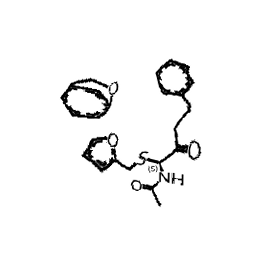 CC(=O)N[C@@H](SCc1ccco1)C(=O)CCc1ccccc1.c1cc2cc(c1)OC2